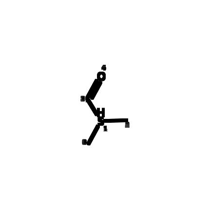 C[SH](C)[C]=O